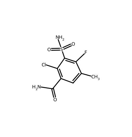 Cc1cc(C(N)=O)c(Cl)c(S(N)(=O)=O)c1F